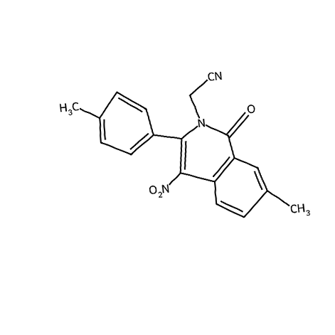 Cc1ccc(-c2c([N+](=O)[O-])c3ccc(C)cc3c(=O)n2CC#N)cc1